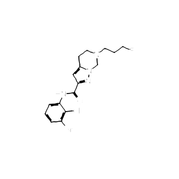 O=C(Nc1cccc(Br)c1Cl)c1cc2n(n1)CN(CCCF)CC2